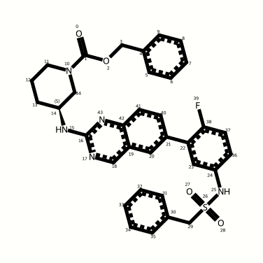 O=C(OCc1ccccc1)N1CCC[C@H](Nc2ncc3cc(-c4cc(NS(=O)(=O)Cc5ccccc5)ccc4F)ccc3n2)C1